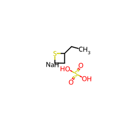 CCC1CCS1.O=S(=O)(O)O.[NaH]